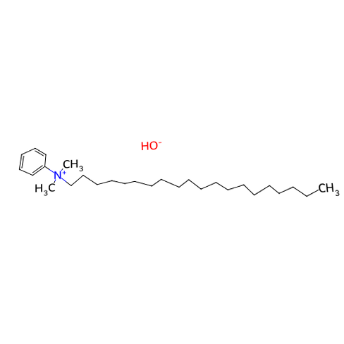 CCCCCCCCCCCCCCCCCCCC[N+](C)(C)c1ccccc1.[OH-]